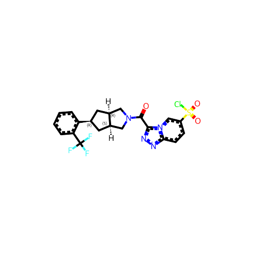 O=C(c1nnc2ccc(S(=O)(=O)Cl)cn12)N1C[C@H]2C[C@@H](c3ccccc3C(F)(F)F)C[C@H]2C1